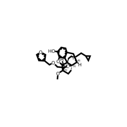 COC12CC[C@@]3(C[C@H]1COCc1ccoc1)[C@H]1Cc4ccc(O)c5c4[C@@]3(CCN1CC1CC1)[C@H]2O5